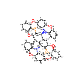 c1ccc2c(c1)oc1ccc3oc4cccc5oc6cc7c(cc8oc9cccc%10oc%11ccc%12oc%13ccccc%13n%13c%12c%11p(c%109)c8c7%13)c7c6p(c45)c3c1n27